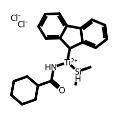 C[SiH](C)[Ti+2]([NH]C(=O)C1CCCCC1)[CH]1c2ccccc2-c2ccccc21.[Cl-].[Cl-]